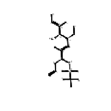 C=CC[C@H](O[Si](C)(C)C(C)(C)C)/C(C)=C/[C@H](CC)[C@@H](O)/C(C)=C/C